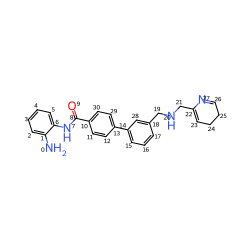 Nc1ccccc1NC(=O)c1ccc(-c2cccc(CNCC3=CCCC=N3)c2)cc1